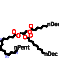 CCCCC/C=C\C/C=C\C/C=C\C/C=C\CCCC(=O)OC[C@@H](COC(=O)CCCCCCCCCCCCCCC)OC(=O)CCCCCCCCCCCCCCCCC